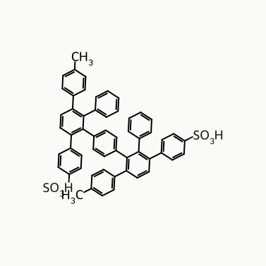 Cc1ccc(-c2ccc(-c3ccc(S(=O)(=O)O)cc3)c(-c3ccc(-c4c(-c5ccc(C)cc5)ccc(-c5ccc(S(=O)(=O)O)cc5)c4-c4ccccc4)cc3)c2-c2ccccc2)cc1